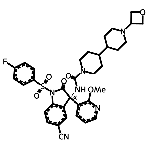 COc1ncccc1[C@]1(NC(=O)N2CCC(C3CCN(C4COC4)CC3)CC2)C(=O)N(S(=O)(=O)c2ccc(F)cc2)c2ccc(C#N)cc21